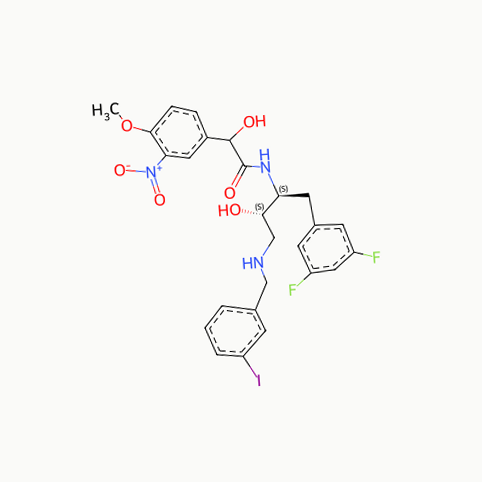 COc1ccc(C(O)C(=O)N[C@@H](Cc2cc(F)cc(F)c2)[C@@H](O)CNCc2cccc(I)c2)cc1[N+](=O)[O-]